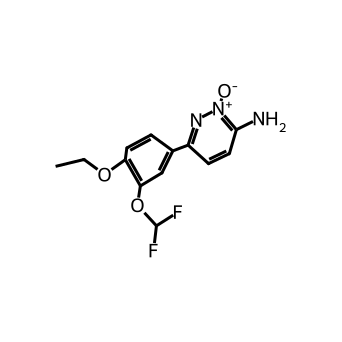 CCOc1ccc(-c2ccc(N)[n+]([O-])n2)cc1OC(F)F